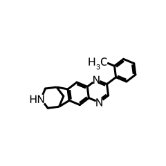 Cc1ccccc1-c1cnc2cc3c(cc2n1)C1CNCC3C1